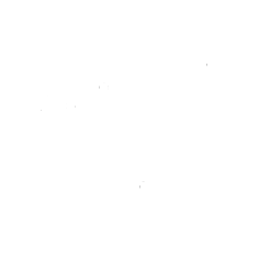 [CH2]CC(CCCOCCCCCCCCCCCC)OCCCCCCCCCCCC